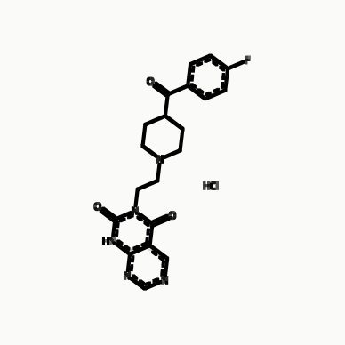 Cl.O=C(c1ccc(F)cc1)C1CCN(CCn2c(=O)[nH]c3ncncc3c2=O)CC1